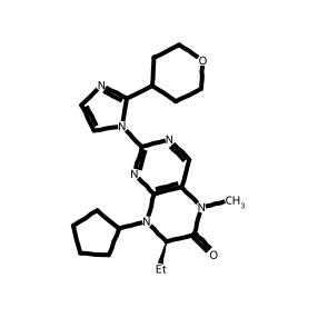 CC[C@@H]1C(=O)N(C)c2cnc(-n3ccnc3C3CCOCC3)nc2N1C1CCCC1